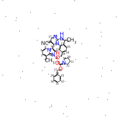 Cc1cccn2c(-c3nc(N[C@@H](C)c4ccc(C(O)[C@@H]5CCCN5C(=O)OCc5ccccc5)cc4)ncc3C#N)cnc12